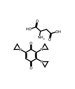 NC(CC(=O)O)C(=O)O.O=C1C=C(N2CC2)C(=O)C(N2CC2)=C1N1CC1